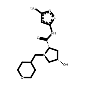 CC(C)(C)c1cc(NC(=O)[C@@H]2C[C@H](O)CN2CC2CCOCC2)on1